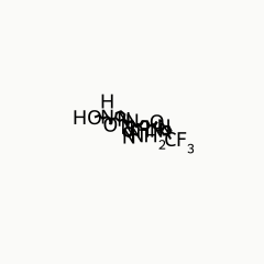 Nc1nccn2c(N3CCCC(C(=O)NCCO)C3)nc(-c3ccc(C(=O)Nc4cc(C(F)(F)F)ccn4)cc3)c12